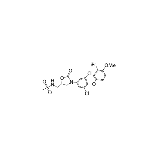 COc1ccc(Oc2c(Cl)cc(N3CC(CNS(C)(=O)=O)OC3=O)cc2Cl)cc1C(C)C